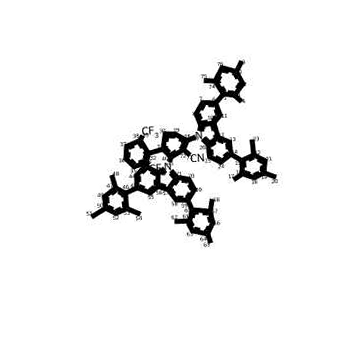 Cc1cc(C)c(-c2ccc3c(c2)c2cc(-c4c(C)cc(C)cc4C)ccc2n3-c2ccc(-c3c(C(F)(F)F)cccc3C(F)(F)F)c(-n3c4ccc(-c5c(C)cc(C)cc5C)cc4c4cc(-c5c(C)cc(C)cc5C)ccc43)c2C#N)c(C)c1